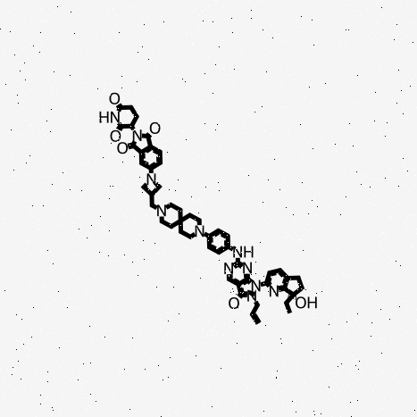 C=CCn1c(=O)c2cnc(Nc3ccc(N4CCC5(CCN(CC6CN(c7ccc8c(c7)C(=O)N(C7CCC(=O)NC7=O)C8=O)C6)CC5)CC4)cc3)nc2n1-c1ccc2c(n1)[C@@](O)(CC)CC2